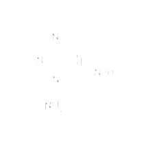 Nn1ccnn1.[NaH]